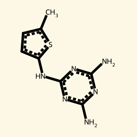 Cc1ccc(Nc2nc(N)nc(N)n2)s1